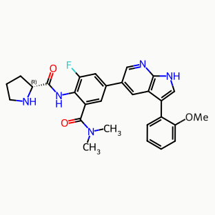 COc1ccccc1-c1c[nH]c2ncc(-c3cc(F)c(NC(=O)[C@H]4CCCN4)c(C(=O)N(C)C)c3)cc12